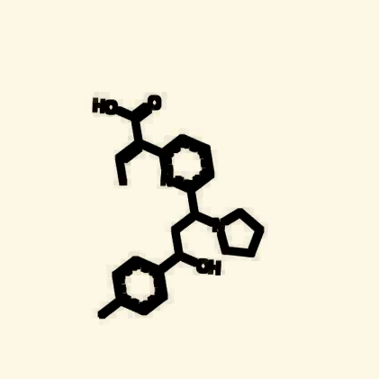 C/C=C(/C(=O)O)c1cccc(C(CC(O)c2ccc(C)cc2)N2CCCC2)n1